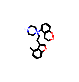 Cc1cccc2occ(CC[N+]3(c4cccc5c4CCOO5)CCNCC3)c12